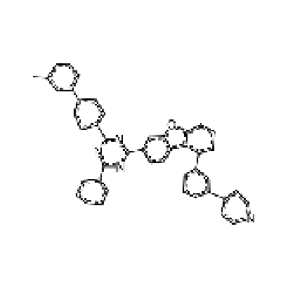 Cc1cccc(-c2ccc(-c3nc(-c4ccccc4)nc(-c4ccc5c(c4)oc4cccc(-c6cccc(-c7ccncc7)c6)c45)n3)cc2)c1